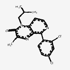 Cc1nc2c(-c3ccc(Cl)cc3Cl)nccc2n(CC(C)C)c1=O